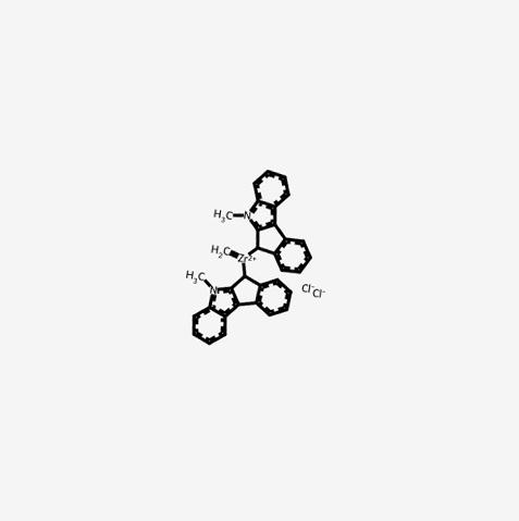 [CH2]=[Zr+2]([CH]1c2ccccc2-c2c1n(C)c1ccccc21)[CH]1c2ccccc2-c2c1n(C)c1ccccc21.[Cl-].[Cl-]